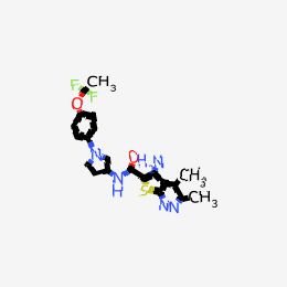 Cc1nnc2sc(C(=O)NC3CCN(c4ccc(OC(C)(F)F)cc4)C3)c(N)c2c1C